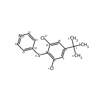 CC(C)(C)c1cc(Cl)c(Sc2ccncc2)c(Cl)c1